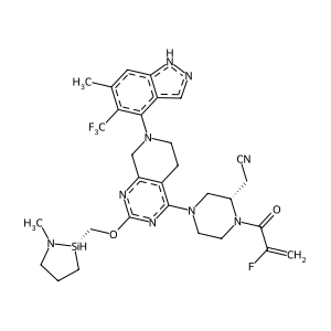 C=C(F)C(=O)N1CCN(c2nc(OC[Si@@H]3CCCN3C)nc3c2CCN(c2c(C(F)(F)F)c(C)cc4[nH]ncc24)C3)C[C@@H]1CC#N